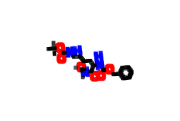 CON(C)C(=O)C(CCCCNC(=O)OC(C)(C)C)NC(=O)OCc1ccccc1